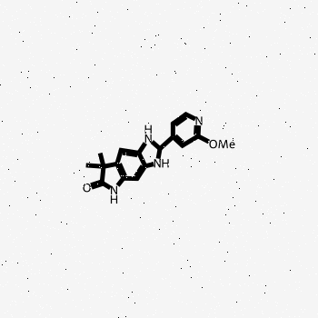 COc1cc(C2Nc3cc4c(cc3N2)C(C)(C)C(=O)N4)ccn1